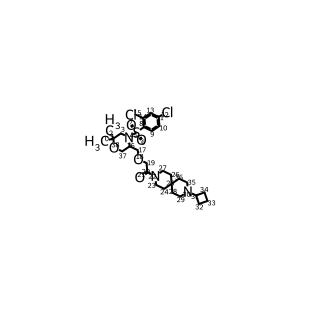 CC1(C)CN(S(=O)(=O)c2ccc(Cl)cc2Cl)C(COCC(=O)N2CCC3(CC2)CCN(C2CCC2)CC3)CO1